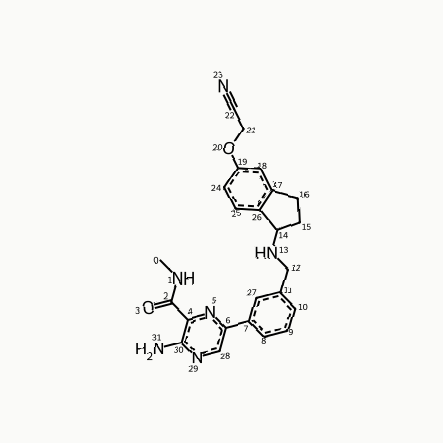 CNC(=O)c1nc(-c2cccc(CNC3CCc4cc(OCC#N)ccc43)c2)cnc1N